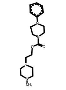 CN1CCN(CCOC(=O)N2CCN(c3ccccc3)CC2)CC1